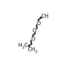 C#CCOCCOCCOCCC(C)C